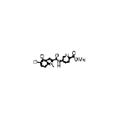 COC(=O)c1ccc(NC(=O)c2cc3c(Cl)c(Cl)ccc3n2C)cn1